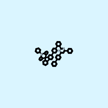 c1ccc(-c2ccc(-c3cc(-c4ccccc4)nc(-c4ccccc4-c4ccc(-c5ccc6c(c5)C5(c7ccccc7-6)c6ccccc6N(c6ccccc6)c6ccccc65)cc4)n3)cc2)cc1